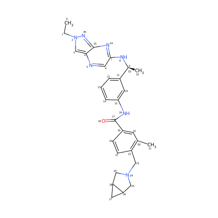 CCn1cc2ncc(N[C@@H](C)c3cccc(NC(=O)c4ccc(CN5CC6CC6C5)c(C)c4)c3)nc2n1